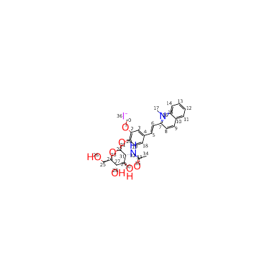 COc1cc(/C=C/c2ccc3ccccc3[n+]2C)ccc1O[C@@H]1O[C@H](CO)[C@@H](O)[C@H](O)[C@H]1NC(C)=O.[I-]